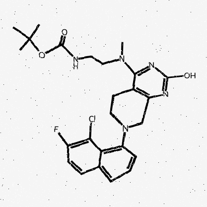 CN(CCNC(=O)OC(C)(C)C)c1nc(O)nc2c1CCN(c1cccc3ccc(F)c(Cl)c13)C2